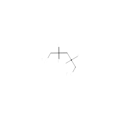 FC(F)(F)CC(F)(F)CC(F)(F)CC(F)(F)F